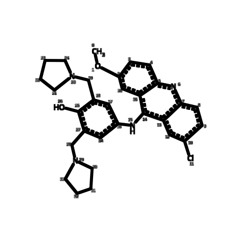 COc1ccc2nc3ccc(Cl)cc3c(Nc3cc(CN4CCCC4)c(O)c(CN4CCCC4)c3)c2c1